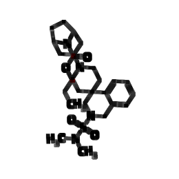 CCCOC(=O)N1C2CCC1CC(N1CCC3(CC1)CN(S(=O)(=O)N(C)C)Cc1ccccc13)C2